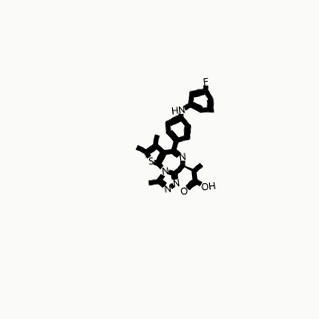 Cc1sc2c(c1C)C(c1ccc(Nc3cccc(F)c3)cc1)=N[C@@H](C(C)C(=O)O)c1nnc(C)n1-2